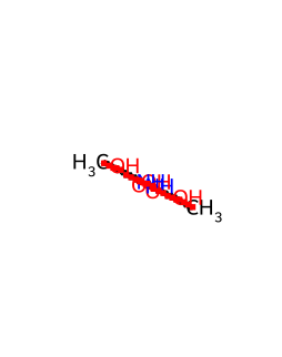 CCCCCCC(O)CC=CCCCCCCCC(=O)NCC(O)CNC(=O)CCCCCCCC=CCC(O)CCCCCC